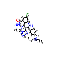 CN(C)Cc1ccc([C@H]2Nc3cc(F)cc4c(=O)[nH]nc(c34)[C@@H]2c2ncnn2C)cc1